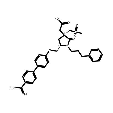 CS(=O)(=O)C[C@@]1(CC(=O)O)C[C@@H](COc2ccc(-c3ccc(C(=N)N)cc3)cc2)N(CCCc2ccccc2)C1=O